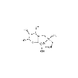 CCCCCCCCCCC(C)(C)CC1C(CO)OC(O)C(O)C1O